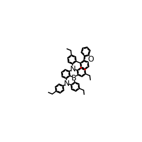 CCc1ccc(N2c3ccc(CC)cc3B3c4cc(CC)ccc4N(c4ccc(CC)cc4-c4cccc5oc6ccccc6c45)c4cccc2c43)cc1